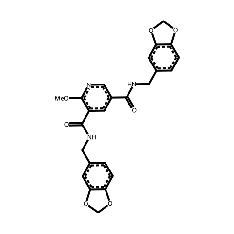 COc1ncc(C(=O)NCc2ccc3c(c2)OCO3)cc1C(=O)NCc1ccc2c(c1)OCO2